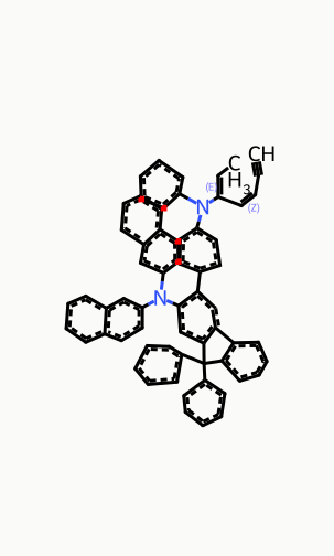 C#C/C=C\C(=C/C)N(c1ccccc1)c1ccc(-c2cc3c(cc2N(c2ccc4ccccc4c2)c2ccc4ccccc4c2)C(c2ccccc2)(c2ccccc2)c2ccccc2-3)cc1